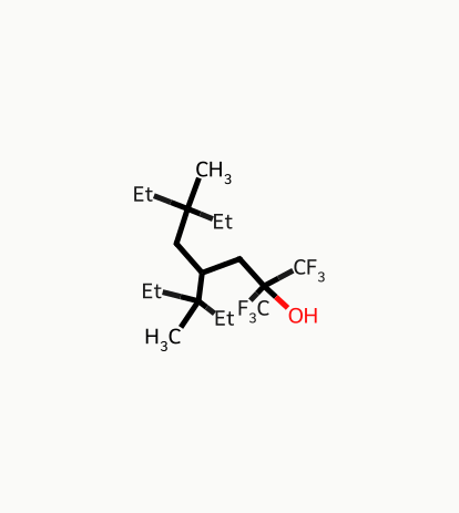 CCC(C)(CC)CC(CC(O)(C(F)(F)F)C(F)(F)F)C(C)(CC)CC